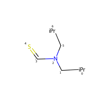 CC(C)CN([C]=S)CC(C)C